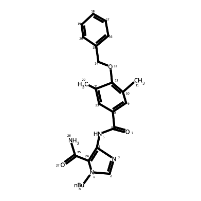 CCCCn1cnc(NC(=O)c2cc(C)c(OCc3ccccc3)c(C)c2)c1C(N)=O